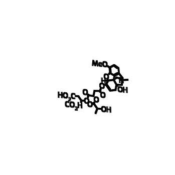 COc1ccc2c3c1O[C@H]1C(OC(=O)CC(OC(=O)C(C)O)C(=O)OC(CC(=O)O)C(=O)O)=CC[C@@]4(O)C(C2)N(C)CC[C@]314